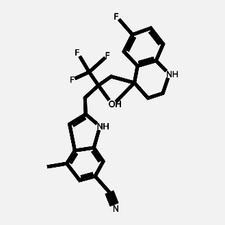 Cc1cc(C#N)cc2[nH]c(CC(O)(CC3(C)CCNc4ccc(F)cc43)C(F)(F)F)cc12